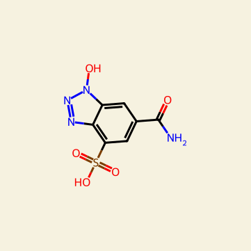 NC(=O)c1cc(S(=O)(=O)O)c2nnn(O)c2c1